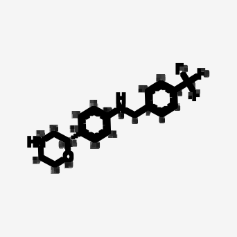 FC(F)(F)c1ccc(CNc2ccc([C@H]3CNCCO3)cc2)cc1